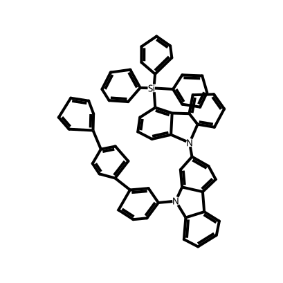 c1ccc(-c2ccc(-c3cccc(-n4c5ccccc5c5ccc(-n6c7ccccc7c7c([Si](c8ccccc8)(c8ccccc8)c8ccccc8)cccc76)cc54)c3)cc2)cc1